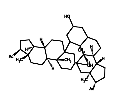 CC(=O)[C@H]1CC[C@H]2[C@@H]3CCC4CC(O)CC(C56CC[C@H]7[C@@H]8CC[C@H](C(C)=O)[C@@]8(C)CC[C@@H]7[C@@]5(C)CCC(O)C6)[C@]4(C)[C@H]3CC[C@]12C